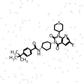 CC(C)(C)c1ccc(C(=O)N[C@H]2CC[C@@H](n3c(=O)c4cc(F)cnc4n(C4CCSCC4)c3=O)CC2)cc1